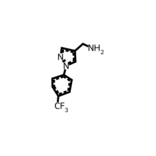 NCc1cnn(-c2ccc(C(F)(F)F)cc2)c1